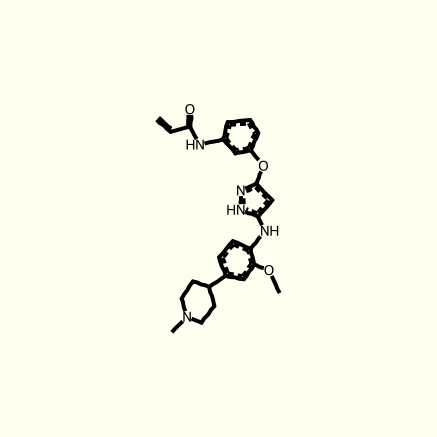 C=CC(=O)Nc1cccc(Oc2cc(Nc3ccc(C4CCN(C)CC4)cc3OC)[nH]n2)c1